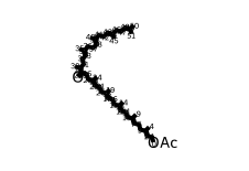 CC(=O)OC/C=C(\C)CC/C=C(\C)CC/C=C(\C)CC/C=C(\C)CC/C=C(\C)CCC(=O)C(C)CC/C=C(\C)CC/C=C(\C)CC/C=C(\C)CCC=C(C)C